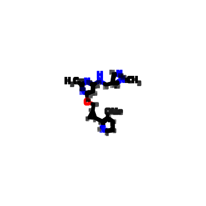 COc1cccnc1C1CC1COc1cc(NCc2cnn(C)c2)nc(C)n1